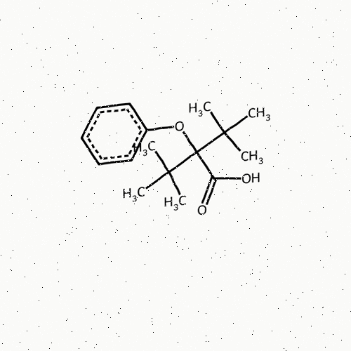 CC(C)(C)C(Oc1ccccc1)(C(=O)O)C(C)(C)C